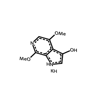 COc1ncc(OC)c2c(O)c[nH]c12.[KH]